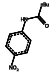 CCCCC(=O)Nc1ccc([N+](=O)[O-])cc1